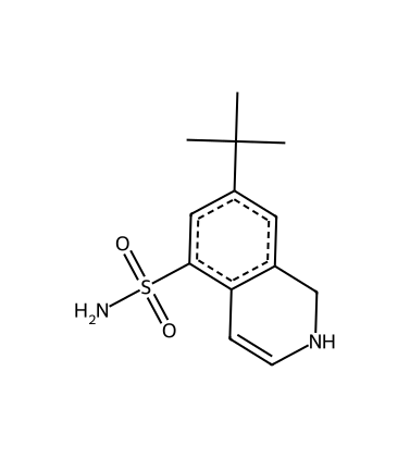 CC(C)(C)c1cc2c(c(S(N)(=O)=O)c1)C=CNC2